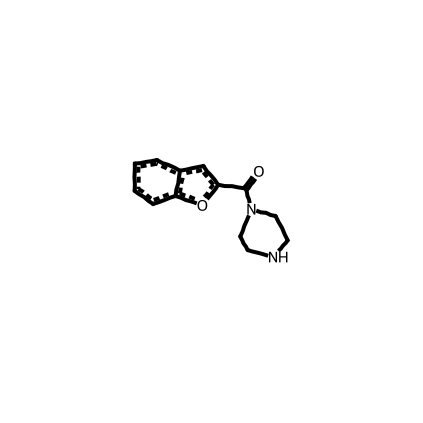 O=C(c1cc2ccccc2o1)N1CCNCC1